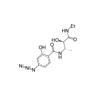 CCNC(=O)[C@H](O)[C@H](C)NC(=O)c1ccc(N=[N+]=[N-])cc1O